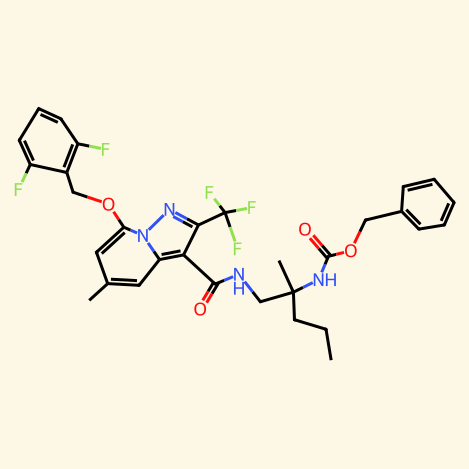 CCCC(C)(CNC(=O)c1c(C(F)(F)F)nn2c(OCc3c(F)cccc3F)cc(C)cc12)NC(=O)OCc1ccccc1